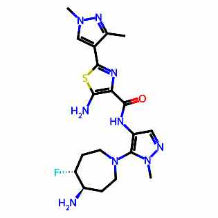 Cc1nn(C)cc1-c1nc(C(=O)Nc2cnn(C)c2N2CC[C@@H](N)[C@H](F)CC2)c(N)s1